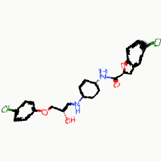 O=C(N[C@H]1CC[C@H](NC[C@H](O)COc2ccc(Cl)cc2)CC1)c1cc2cc(Cl)ccc2o1